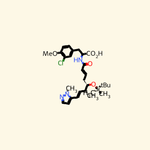 COc1ccc(CC(NC(=O)/C=C/C[C@H](O[Si](C)(C)C(C)(C)C)[C@H](C)/C=C/c2ccnn2C)C(=O)O)cc1Cl